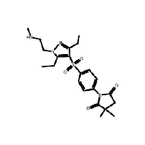 CCc1nn(CCNC)c(CC)c1S(=O)(=O)c1ccc(N2C(=O)CC(C)(C)C2=O)cc1